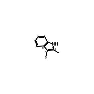 Cc1[nH]c2[c]cccc2c1C